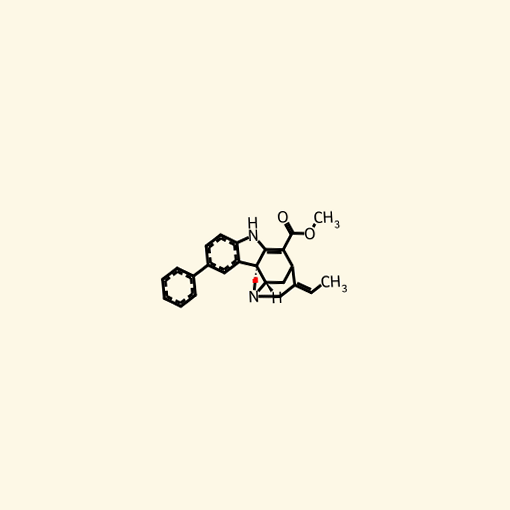 C/C=C1/CN2CC[C@]34C(=C(C(=O)OC)C1C[C@H]23)Nc1ccc(-c2ccccc2)cc14